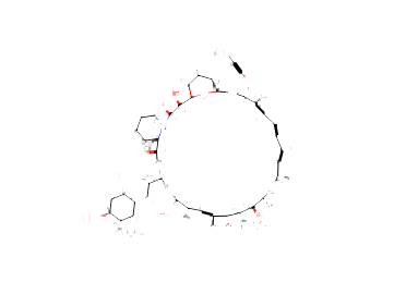 CCCC#CO[C@H]1C[C@@H]2CC[C@@H](C)[C@@](O)(O2)C(=O)C(=O)N2CCCC[C@H]2C(=O)C[C@H]([C@H](C)C[C@@H]2CCC(O)[C@H](OC)C2)CC(O)[C@H](C)/C=C(\C)[C@@H](O)[C@@H](OC)C(=O)[C@H](C)C[C@H](C)/C=C/C=C/C=C/1C